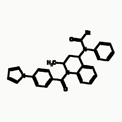 CCC(=O)N(c1ccccc1)C1CC(C)N(C(=O)c2ccc(-n3cccc3)cc2)c2ccccc21